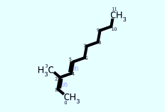 C/[C]=C(C)\C=C\CCCCCC